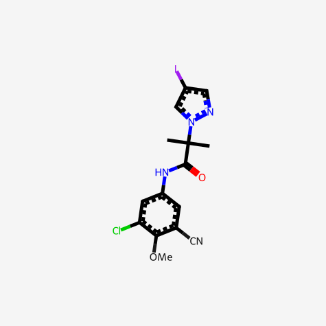 COc1c(Cl)cc(NC(=O)C(C)(C)n2cc(I)cn2)cc1C#N